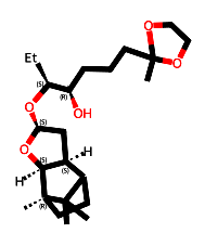 CC[C@H](O[C@H]1C[C@H]2C3CC[C@@](C)([C@H]2O1)C3(C)C)[C@H](O)CCCC1(C)OCCO1